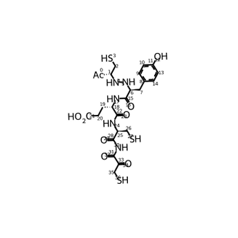 CC(=O)[C@H](CS)NN[C@@H](Cc1ccc(O)cc1)C(=O)N[C@@H](CCC(=O)O)C(=O)N[C@@H](CS)C(=O)NC(=O)C(=O)CS